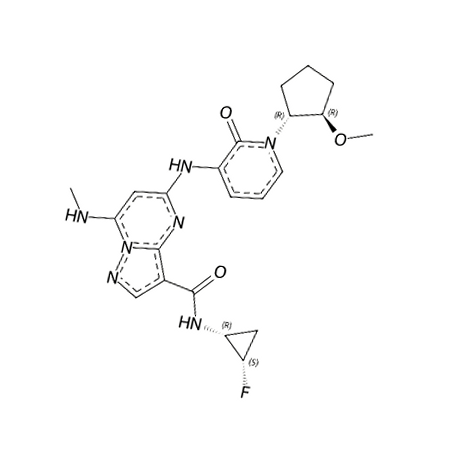 CNc1cc(Nc2cccn([C@@H]3CCC[C@H]3OC)c2=O)nc2c(C(=O)N[C@@H]3C[C@@H]3F)cnn12